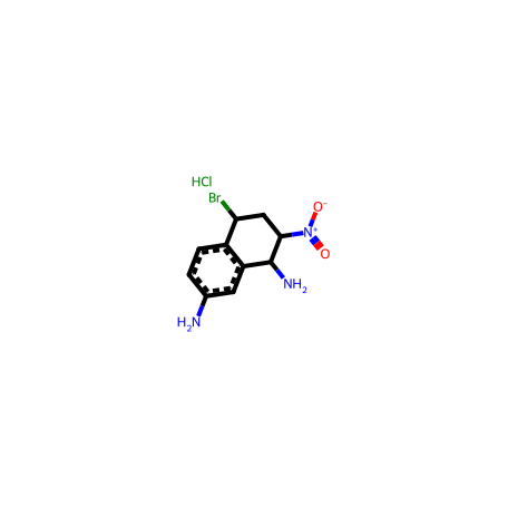 Cl.Nc1ccc2c(c1)C(N)C([N+](=O)[O-])CC2Br